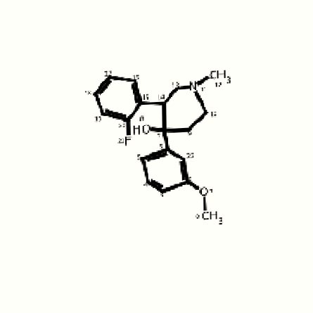 COc1cccc(C2(O)CCN(C)CC2c2ccccc2F)c1